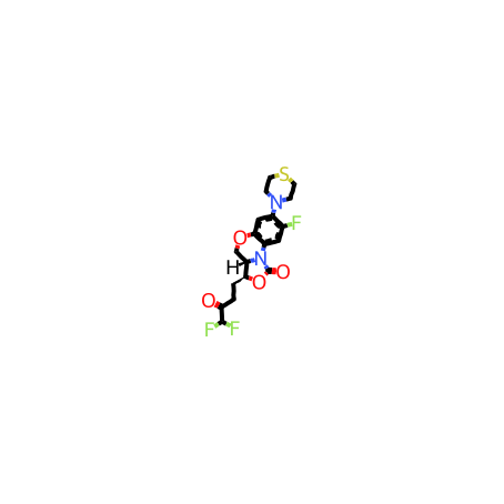 O=C(CC[C@@H]1OC(=O)N2c3cc(F)c(N4CCSCC4)cc3OC[C@@H]12)C(F)F